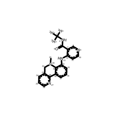 [2H]C([2H])([2H])NC(=O)c1cnccc1Nc1cccc2c1N(C)Cc1cccnc1-2